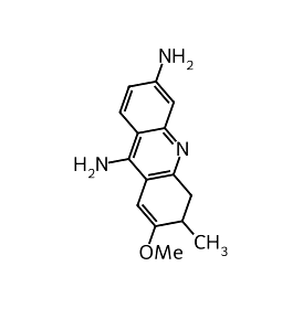 COC1=Cc2c(nc3cc(N)ccc3c2N)CC1C